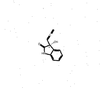 C=C=C[C@]1(O)C(=O)Nc2ccccc21